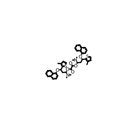 Cc1ccsc1C(CC(OC(=O)C(=O)OC(CC(Oc1cccc2ccccc12)c1sccc1C)N(C)C)N(C)C)Oc1cccc2ccccc12